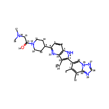 Cc1c(-c2[nH]c3ccc(C4CCN(C(=O)CN(C)C)CC4)nc3c2C(C)C)cn2ncnc2c1C